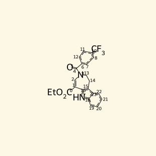 CCOC(=O)C1=CN(C(=O)c2ccc(C(F)(F)F)cc2)CCc2c1[nH]c1ccccc21